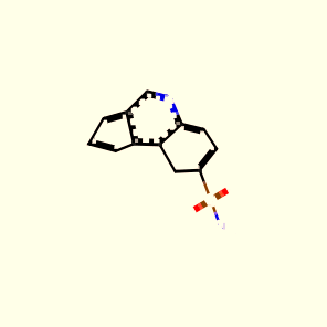 NS(=O)(=O)C1=CC=c2ncc3c(c2C1)C=CC=3